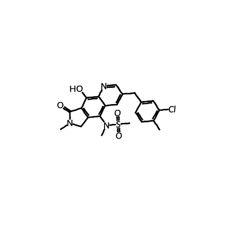 Cc1ccc(Cc2cnc3c(O)c4c(c(N(C)S(C)(=O)=O)c3c2)CN(C)C4=O)cc1Cl